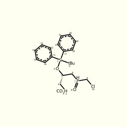 CC(C)(C)[Si](O[C@@H](CC(=O)O)C[PH](=O)CCl)(c1ccccc1)c1ccccc1